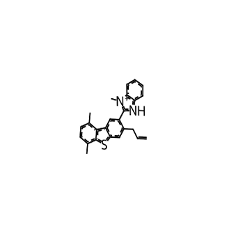 C=CCc1cc2sc3c(C)ccc(C)c3c2cc1-c1[nH]c2ccccc2[n+]1C